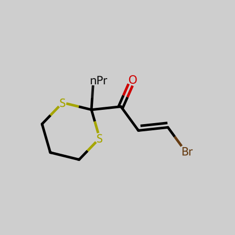 CCCC1(C(=O)/C=C/Br)SCCCS1